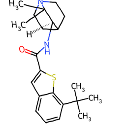 CC(C)(C)c1cccc2cc(C(=O)N[C@@H]3C4CCN(CC4)C3(C)C)sc12